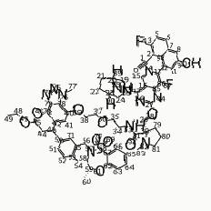 C#Cc1c(F)ccc2cc(O)cc(-c3ncc4c(N5C[C@H]6CC[C@@H](C5)N6)nc(OC[C@]5(C(=O)NCCOCCOc6cc(C(CC(=O)OCC)c7ccc(C)c(CN8C[C@@H](C)Oc9ccccc9S8(=O)=O)c7)cc7nnn(C)c67)CCCN5C)nc4c3F)c12